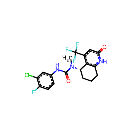 CN(C(=O)Nc1ccc(F)c(Cl)c1)[C@H]1CCCc2[nH]c(=O)cc(C(F)(F)F)c21